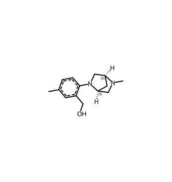 Cc1ccc(N2C[C@@H]3C[C@H]2CN3C)c(CO)c1